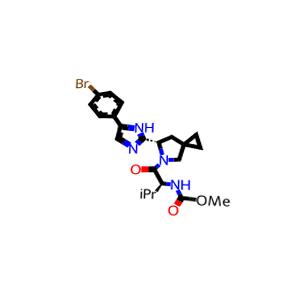 COC(=O)N[C@H](C(=O)N1CC2(CC2)C[C@H]1c1ncc(-c2ccc(Br)cc2)[nH]1)C(C)C